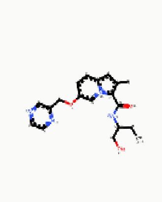 Cc1cc2ccc(OCc3cnccn3)cn2c1C(=O)NC(CO)CC(F)(F)F